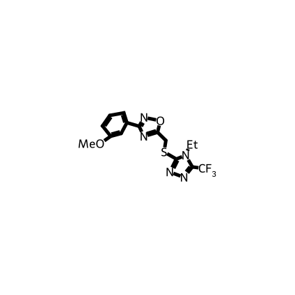 CCn1c(SCc2nc(-c3cccc(OC)c3)no2)nnc1C(F)(F)F